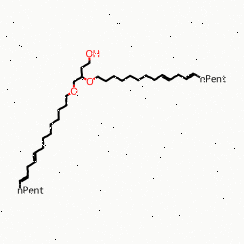 CCCCCC=CCC=CCCCCCCCCOCC(CCO)OCCCCCCCCC=CCC=CCCCCC